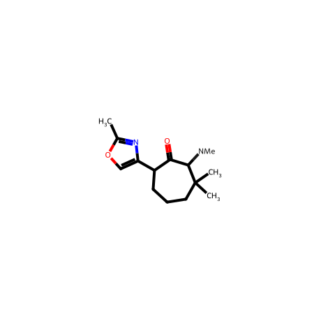 CNC1C(=O)C(c2coc(C)n2)CCCC1(C)C